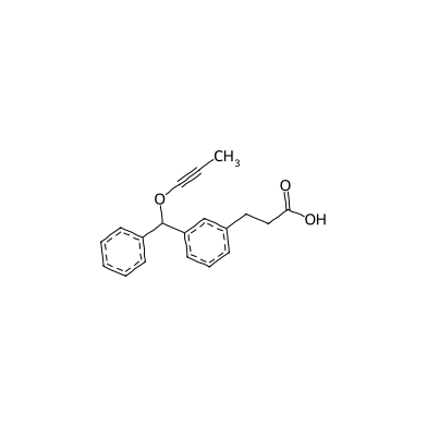 CC#COC(c1ccccc1)c1cccc(CCC(=O)O)c1